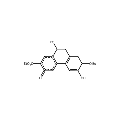 CCOC(=O)c1cn2c(cc1=O)C1=C(CC(OCC(C)C)C(O)=C1)CC2CC